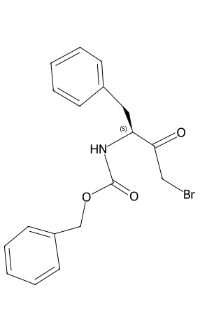 O=C(N[C@@H](Cc1ccccc1)C(=O)CBr)OCc1ccccc1